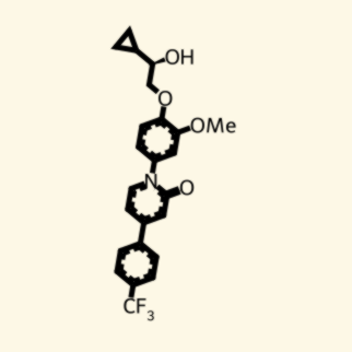 COc1cc(-n2ccc(-c3ccc(C(F)(F)F)cc3)cc2=O)ccc1OC[C@H](O)C1CC1